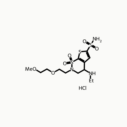 CCNC1CN(CCOCCOC)S(=O)(=O)c2sc(S(N)(=O)=O)cc21.Cl